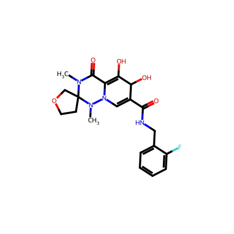 CN1C(=O)C2=C(O)C(O)C(C(=O)NCc3ccccc3F)=CN2N(C)C12CCOC2